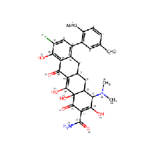 COc1ccc(C=O)cc1-c1cc(F)c(O)c2c1CC1CC3C(N(C)C)C(O)=C(C(N)=O)C(=O)C3(O)C(O)=C1C2=O